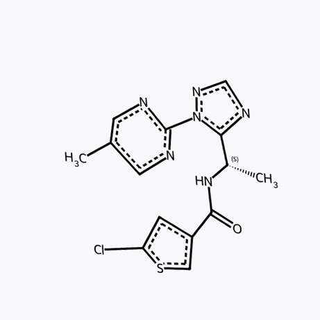 Cc1cnc(-n2ncnc2[C@H](C)NC(=O)c2csc(Cl)c2)nc1